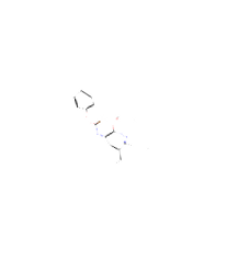 CCc1cc(NC(=S)Oc2ccccc2)c(OC)nc1C